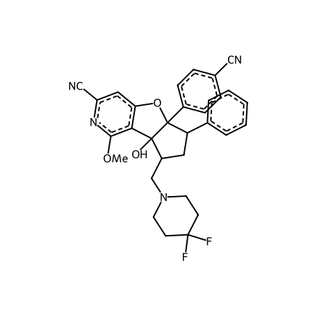 COc1nc(C#N)cc2c1C1(O)C(CN3CCC(F)(F)CC3)CC(c3ccccc3)C1(c1ccc(C#N)cc1)O2